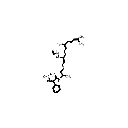 C=CNN/C(=C\CSCC(C)NC(=C)C(NC=O)c1ccccc1)CC/C=C(\C)CCC=C(C)C